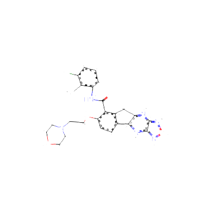 CC(=O)c1c(F)cccc1NC(=O)c1c(OCCN2CCOCC2)ccc2c1Cc1nc3nonc3nc1-2